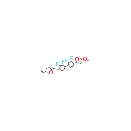 C=CC1CCC(CCc2ccc(-c3ccc(C4CCC(OCC)CO4)c(F)c3F)c(F)c2F)OC1